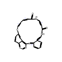 O=C1/C=C\C=C/Oc2ccc3ncnc(c3c2)/N=c2/cccc/c2=C/NC(=O)/C=C\N1